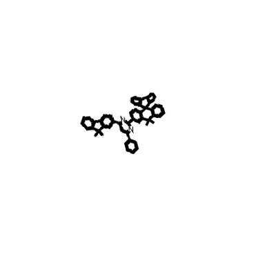 CC1(C)c2ccccc2-c2ccc(-c3cc(-c4ccccc4)nc(-c4ccc5c(c4)C(C)(C)c4ccccc4C54c5ccccc5-c5ccccc54)n3)cc21